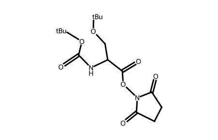 CC(C)(C)OCC(NC(=O)OC(C)(C)C)C(=O)ON1C(=O)CCC1=O